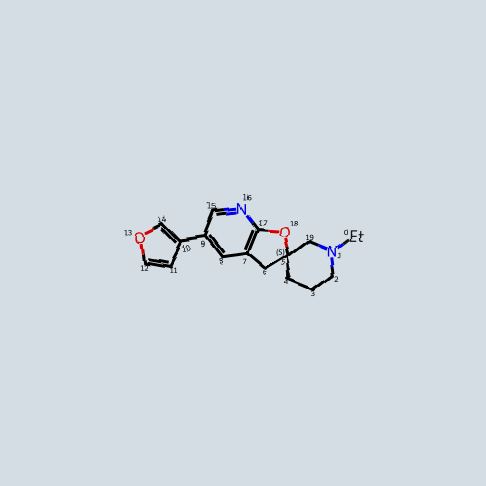 CCN1CCC[C@]2(Cc3cc(-c4ccoc4)cnc3O2)C1